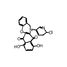 O=C1C2=C(C(=O)c3c(O)ccc(O)c31)N(C1=CCC(Cl)N=C1)Cc1ccccc1O2